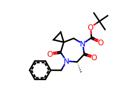 C[C@H]1C(=O)N(C(=O)OC(C)(C)C)CC2(CC2)C(=O)N1Cc1ccccc1